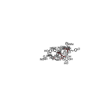 CN[C@H](CC(C)C)C(=O)N[C@H]1C(=O)N[C@@H](CC(N)=O)C(=O)N[C@H]2C(=O)N[C@H]3C(=O)N[C@H](C(=O)N[C@@H](C(=O)NOCC(=O)NC#N)c4cc(O)cc(O)c4-c4cc3ccc4O)[C@H](O)c3ccc(c(Cl)c3)Oc3cc2cc(c3O[C@@H]2O[C@H](CO)[C@@H](O)[C@H](O)[C@H]2O[C@H]2C[C@](C)(NCCn3ccc(NC(=O)/C=C/c4ccc(Cl)cc4)nc3=O)[C@H](O)[C@H](C)O2)Oc2ccc(cc2Cl)[C@H]1O